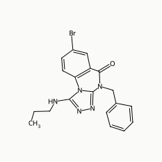 CCCNc1nnc2n(Cc3ccccc3)c(=O)c3cc(Br)ccc3n12